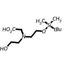 CC(C)(C)[Si](C)(C)OCCN(CCO)CC(=O)O